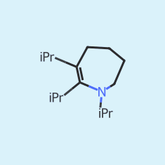 CC(C)C1=C(C(C)C)N(C(C)C)CCCC1